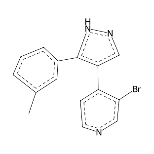 Cc1cccc(-c2[nH]ncc2-c2ccncc2Br)c1